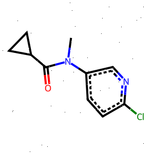 CN(C(=O)C1CC1)c1ccc(Cl)nc1